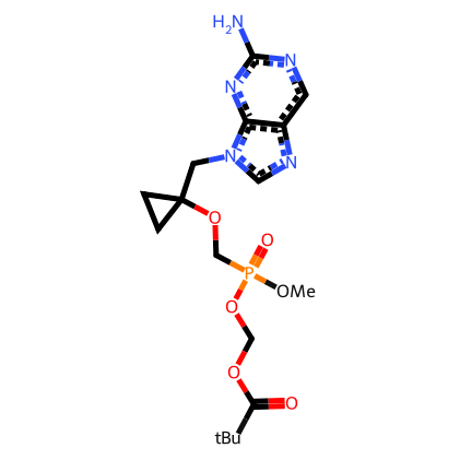 [CH2]OP(=O)(COC1(Cn2cnc3cnc(N)nc32)CC1)OCOC(=O)C(C)(C)C